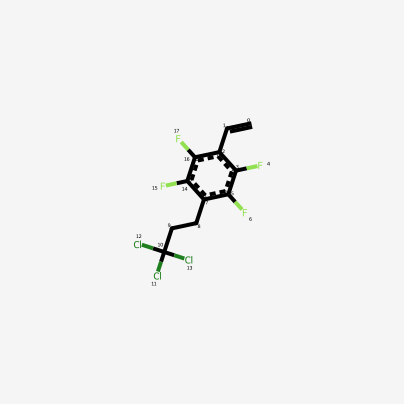 C=Cc1c(F)c(F)c(CCC(Cl)(Cl)Cl)c(F)c1F